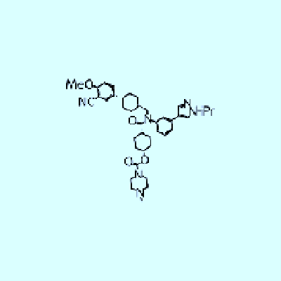 COc1ccc([C@H]2CC[C@H](CN(c3cccc(-c4cnn(C(C)C)c4)c3)C(=O)[C@H]3CC[C@H](OC(=O)N4CCN(C)CC4)CC3)CC2)cc1C#N